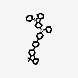 CC1(C)c2ccccc2-c2cc(-c3ccc(-c4ccc(N(c5ccccc5)c5ccc6c(c5)c5ccccc5n6-c5ccccc5)cc4)cc3)ccc21